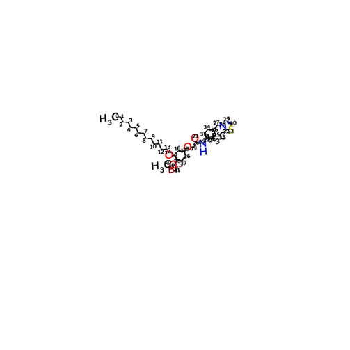 CCCCCCCCCCCCCCOc1cc(OCC(=O)Nc2ccc(C[n+]3ccsc3C)cc2)ccc1OC.[Br-]